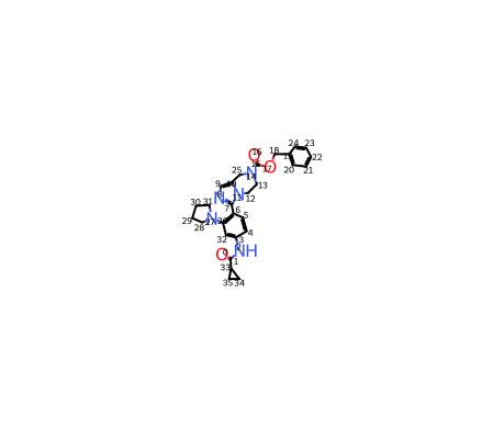 O=C(Nc1ccc(-c2ncc3n2CCN(C(=O)OCc2ccccc2)C3)c(N2CCCC2)c1)C1CC1